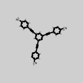 N#Cc1ccc(C#Cc2cc(C#Cc3ccc(C#N)cc3)cc(C#Cc3ccc(C#N)cc3)c2)cc1